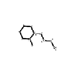 CN1CCCC[C@@H]1COSS